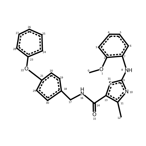 COc1ccccc1Nc1nc(C)c(C(=O)NCc2ccc(Oc3ccccc3)cc2)s1